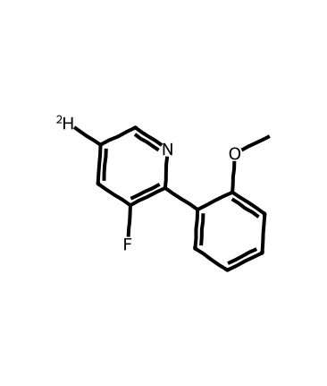 [2H]c1cnc(-c2ccccc2OC)c(F)c1